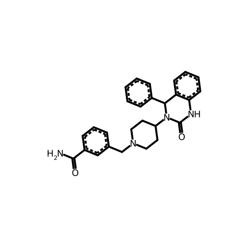 NC(=O)c1cccc(CN2CCC(N3C(=O)Nc4ccccc4C3c3ccccc3)CC2)c1